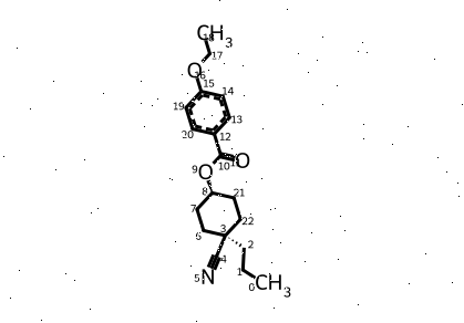 CCC[C@]1(C#N)CC[C@@H](OC(=O)c2ccc(OCC)cc2)CC1